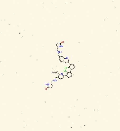 COc1nc(-c2cccc(-c3cccc(-c4cnc5cc(CNC[C@H]6CCC(=O)N6)ccc5c4)c3Cl)c2Cl)ccc1CNC[C@@H]1CCC(=O)N1